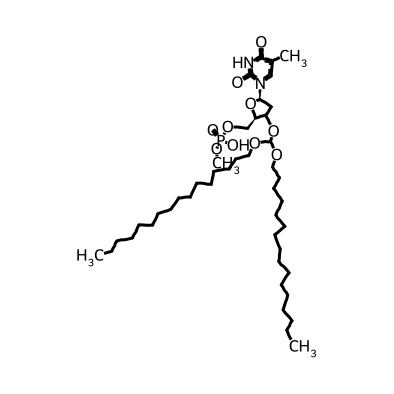 CCCCCCCCCCCCCCCCOC(OCCCCCCCCCCCCCCCC)OC1C[C@H](n2cc(C)c(=O)[nH]c2=O)O[C@@H]1COP(=O)(O)OC